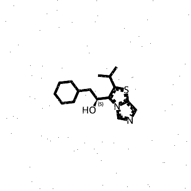 CC(C)c1sc2cncn2c1[C@@H](O)CC1CCCCC1